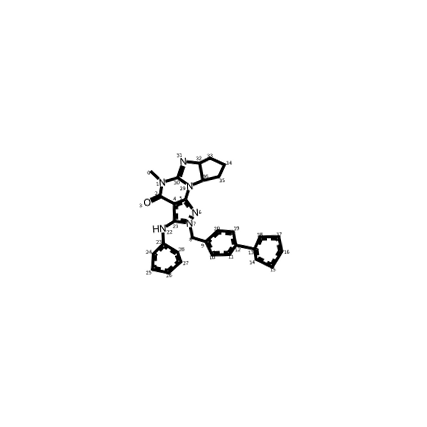 CN1C(=O)c2c(nn(Cc3ccc(-c4ccccc4)cc3)c2Nc2ccccc2)N2C1=NC1CCCC12